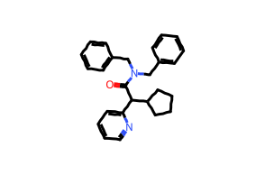 O=C(C(c1ccccn1)C1CCCC1)N(Cc1ccccc1)Cc1ccccc1